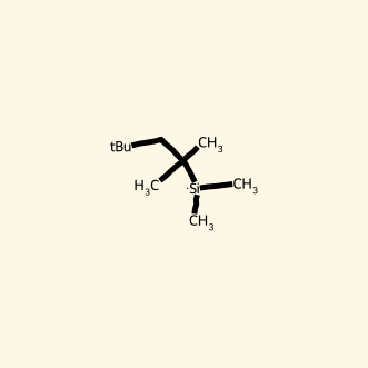 C[Si](C)C(C)(C)CC(C)(C)C